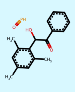 Cc1cc(C)c(C(O)C(=O)c2ccccc2)c(C)c1.O=P